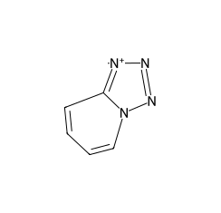 C1=CC2=[N+]N=NN2C=C1